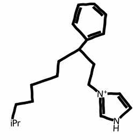 CC(C)CCCCCC(CC[n+]1cc[nH]c1)c1ccccc1